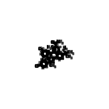 CCOc1nc(C(C)(C)C)ncc1C1=N[C@@](C)(c2ccc(Cl)cc2)[C@@](C)(c2ccc(Cl)cc2)N1C(=O)N1CCCC(C(N)=O)C1